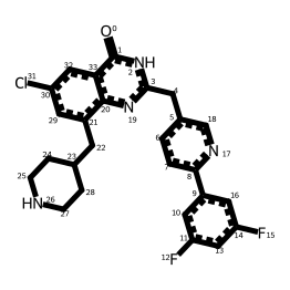 O=c1[nH]c(Cc2ccc(-c3cc(F)cc(F)c3)nc2)nc2c(CC3CCNCC3)cc(Cl)cc12